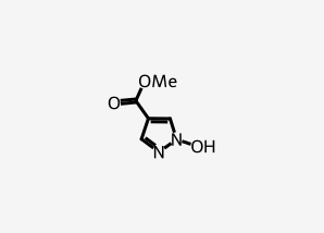 COC(=O)c1cnn(O)c1